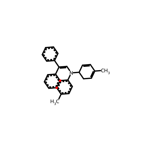 CC1=CCC(N(C=C(c2ccccc2)c2ccccc2)c2ccc(C)cc2)C=C1